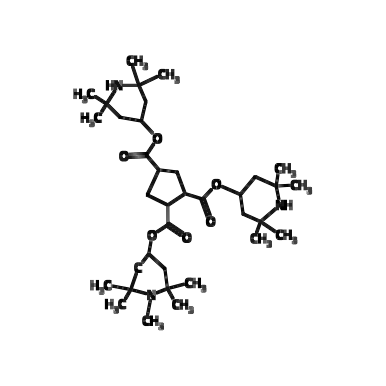 CN1C(C)(C)CC(OC(=O)C2CC(C(=O)OC3CC(C)(C)NC(C)(C)C3)CC2C(=O)OC2CC(C)(C)NC(C)(C)C2)CC1(C)C